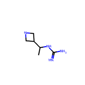 CC(NC(=N)N)C1C[N]C1